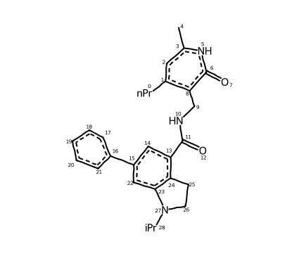 CCCc1cc(C)[nH]c(=O)c1CNC(=O)c1cc(-c2ccccc2)cc2c1CCN2C(C)C